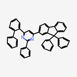 c1ccc(-c2nc(-c3ccc4c(c3)C(c3ccccc3)(c3ccccc3)c3ccccc3-4)cc(-c3ccccc3-c3ccccc3)n2)cc1